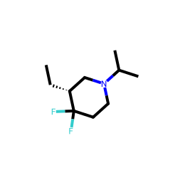 CC[C@@H]1CN(C(C)C)CCC1(F)F